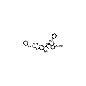 CCCc1cc(OCCOCc2ccccc2)c(OC)cc1C(C)Cc1ccc(OC)c(OS(=O)c2ccccc2)c1CC